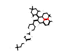 CC(C)(O)CCOc1cnc(N2CCC(c3nc4c(c(C5CCC(F)(F)CC5)c3[C@@H](F)c3ccc(C(F)(F)F)cc3)C(O)CC(C)(C)C4)CC2)nc1